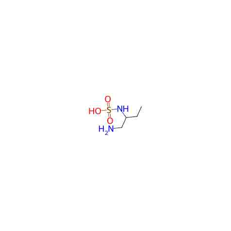 CCC(CN)NS(=O)(=O)O